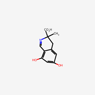 CC1(C(=O)O)Cc2cc(O)cc(O)c2C=N1